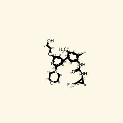 Cc1cc(F)c(NC(=O)NC2CC2C(F)(F)F)cc1-c1cc(OCCO)nc(N2CCOCC2)c1